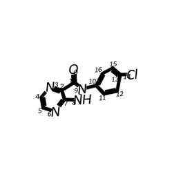 O=c1c2nccnc2[nH]n1-c1ccc(Cl)cc1